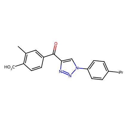 Cc1cc(C(=O)c2cn(-c3ccc(C(C)C)cc3)nn2)ccc1C(=O)O